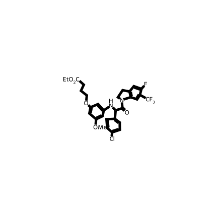 CCOC(=O)CCCOc1cc(NC(C(=O)N2CCc3cc(F)c(C(F)(F)F)cc32)c2ccc(Cl)cc2)cc(OC)c1